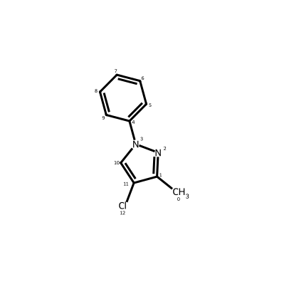 Cc1nn(-c2ccccc2)cc1Cl